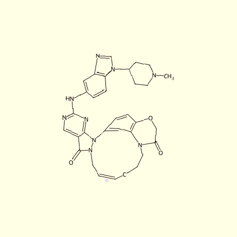 CN1CCC(n2cnc3cc(Nc4ncc5c(=O)n6n(c5n4)-c4ccc5c(c4)N(CCC/C=C\C6)C(=O)CO5)ccc32)CC1